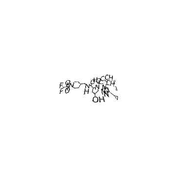 CC(C)(C)[C@@H](C(=O)N1CC(O)CC1C(=O)NCC1CCN(S(=O)(=O)C(F)F)CC1)n1cc(C2CC2)nn1